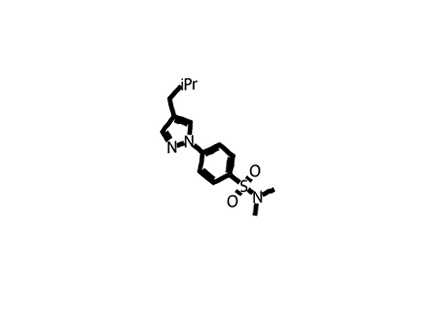 CC(C)Cc1cnn(-c2ccc(S(=O)(=O)N(C)C)cc2)c1